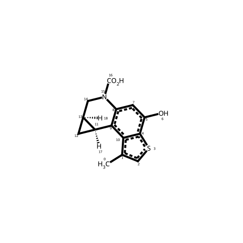 Cc1csc2c(O)cc3c(c12)[C@H]1C[C@H]1CN3C(=O)O